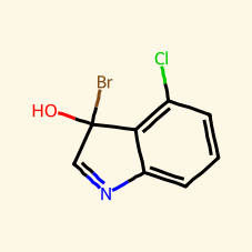 OC1(Br)C=Nc2cccc(Cl)c21